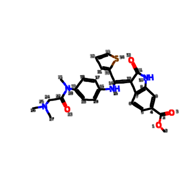 COC(=O)c1ccc2c(c1)NC(=O)C2=C(Nc1ccc(N(C)C(=O)CN(C)C)cc1)c1cccs1